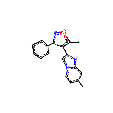 Cc1ccn2cc(-c3c(-c4ccccc4)noc3C)nc2c1